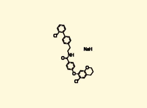 O=C(NCCc1ccc(-c2ccccc2Cl)cc1)c1ccc(Oc2cc3c(cc2Cl)CCCO3)cc1.[NaH]